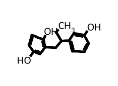 CCC(Cc1cc(O)ccc1O)c1cccc(O)c1